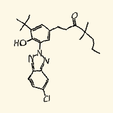 CCCC(C)(C)C(=O)CCc1cc(-n2nc3ccc(Cl)cc3n2)c(O)c(C(C)(C)C)c1